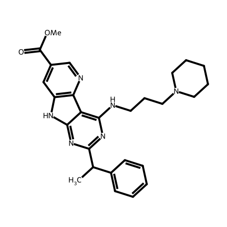 COC(=O)c1cnc2c(c1)[nH]c1nc(C(C)c3ccccc3)nc(NCCCN3CCCCC3)c12